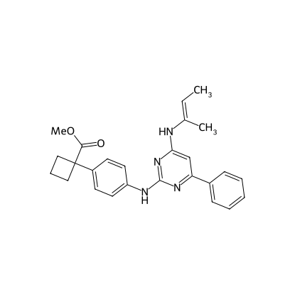 C/C=C(\C)Nc1cc(-c2ccccc2)nc(Nc2ccc(C3(C(=O)OC)CCC3)cc2)n1